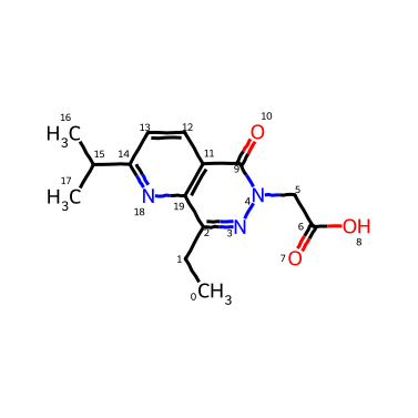 CCc1nn(CC(=O)O)c(=O)c2ccc(C(C)C)nc12